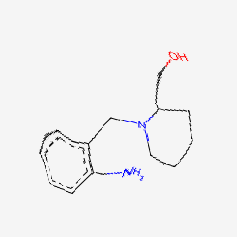 Nc1ccccc1CN1CCCCC1CO